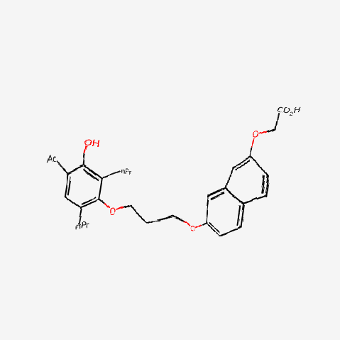 CCCc1cc(C(C)=O)c(O)c(CCC)c1OCCCOc1ccc2ccc(OCC(=O)O)cc2c1